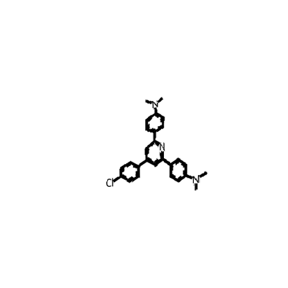 CN(C)c1ccc(-c2cc(-c3ccc(Cl)cc3)cc(-c3ccc(N(C)C)cc3)n2)cc1